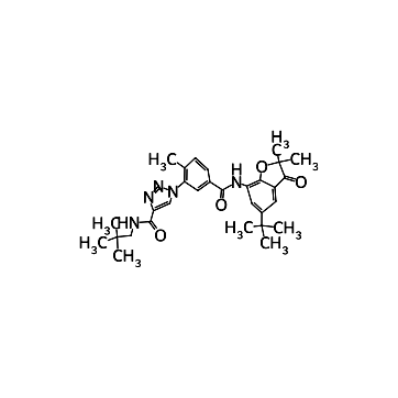 Cc1ccc(C(=O)Nc2cc(C(C)(C)C)cc3c2OC(C)(C)C3=O)cc1-n1cc(C(=O)NCC(C)(C)C)nn1